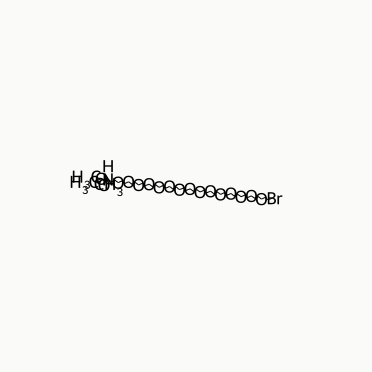 CC(C)(C)OC(=O)NCCOCCOCCOCCOCCOCCOCCOCCOCCOCCOCCOCCOCCOCCOCCOCCBr